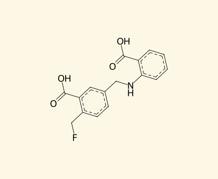 O=C(O)c1cc(CNc2ccccc2C(=O)O)ccc1CF